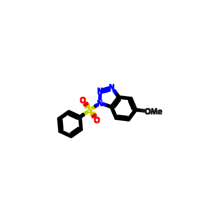 COc1ccc2c(c1)nnn2S(=O)(=O)c1ccccc1